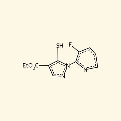 CCOC(=O)c1cnn(-c2ncccc2F)c1S